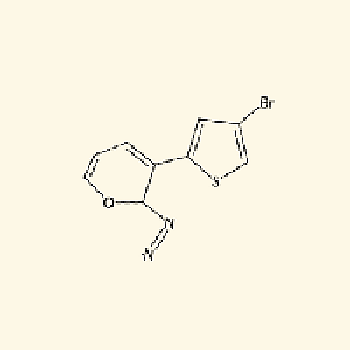 [N]=NC1OC=CC=C1c1cc(Br)cs1